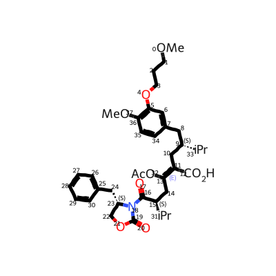 COCCCOc1cc(C[C@@H](C/C(C(=O)O)=C(/C[C@H](C(=O)N2C(=O)OC[C@@H]2Cc2ccccc2)C(C)C)OC(C)=O)C(C)C)ccc1OC